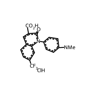 CNc1ccc(-n2c(=O)c(C(=O)O)cc3ccc(C(F)(F)F)cc32)cc1.Cl